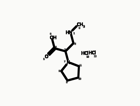 CNCC(C(=O)O)N1CCCC1.Cl.Cl